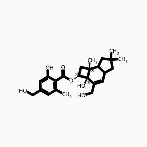 Cc1cc(CO)cc(O)c1C(=O)O[C@@H]1C[C@]2(C)C3CC(C)(C)CC3C=C(CO)[C@]12O